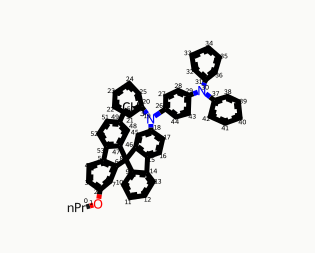 CCCOc1ccc2c(c1)C1(c3ccccc3-c3ccc(N(c4ccccc4)c4ccc(N(c5ccccc5)c5ccccc5)cc4)cc31)c1cc(C)ccc1-2